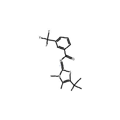 Cc1c(C(C)(C)C)s/c(=N\C(=O)c2cccc(C(F)(F)F)c2)n1C